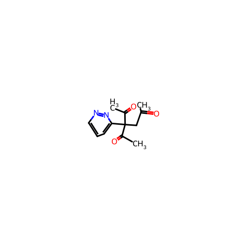 CC(=O)CC(C(C)=O)(C(C)=O)c1cccnn1